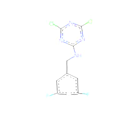 Fc1cc(F)cc(CNc2nc(Cl)nc(Cl)n2)c1